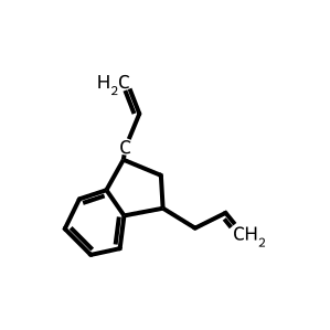 C=CCC1CC(CC=C)c2ccccc21